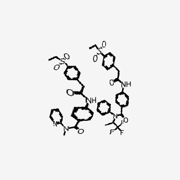 CCS(=O)(=O)c1ccc(CC(=O)Nc2ccc(C(=O)N(C)c3ccccn3)cc2)cc1.CCS(=O)(=O)c1ccc(CC(=O)Nc2ccc(C(=O)N(c3ccccc3)C(C)C(F)(F)F)cc2)cc1